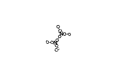 CC1CC=CC=C1C1(C)C=CC(N(c2ccc(-c3ccccc3)cc2)C2C=CC(c3ccc(N(c4ccc(-c5ccccc5)cc4)c4ccc(-c5ccccc5)cc4)cc3)=CC2)=CC1